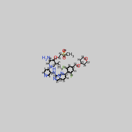 C[C@H]1CN(c2ccncc2Nc2ncc3ccc(-c4c(F)cc(COC5CCOCC5)cc4F)nn23)C[C@@H](N)[C@H]1OCCS(C)(=O)=O